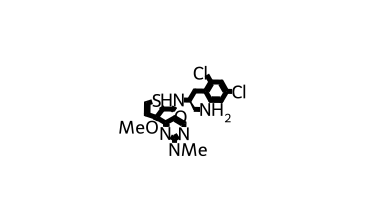 CNc1nccc(C2(OC)C=CSC2C(=O)N[C@H](CN)Cc2ccc(Cl)cc2Cl)n1